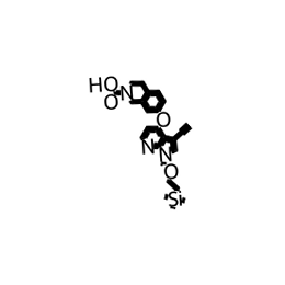 C#Cc1cn(COCC[Si](C)(C)C)c2nccc(Oc3ccc4c(c3)CN(C(=O)O)CC4)c12